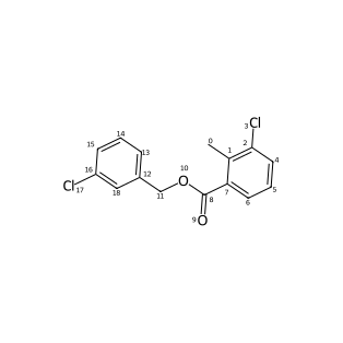 Cc1c(Cl)cccc1C(=O)OCc1cccc(Cl)c1